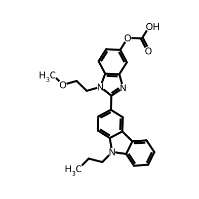 CCCn1c2ccccc2c2cc(-c3nc4cc(OC(=O)O)ccc4n3CCOC)ccc21